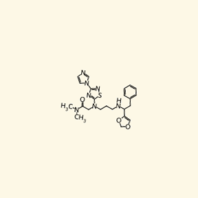 CN(C)C(=O)CN(CCCNC(Cc1ccccc1)C1=COCO1)c1nc(-n2ccnc2)ns1